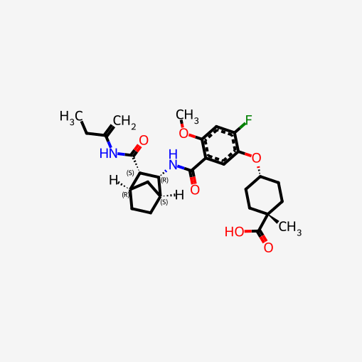 C=C(CC)NC(=O)[C@H]1[C@@H]2CC[C@@H](C2)[C@H]1NC(=O)c1cc(O[C@H]2CC[C@@](C)(C(=O)O)CC2)c(F)cc1OC